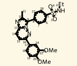 CCNS(=O)(=O)c1ccc(-c2c(C)nc3ccc(-c4ccc(OC)c(OC)c4)nn23)cc1